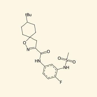 CC(C)(C)C1CCC2(CC1)CC(C(=O)Nc1ccc(F)c(NS(C)(=O)=O)c1)=NO2